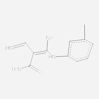 Cc1cccc(N/C(N)=C(/C=N)C(N)=O)c1